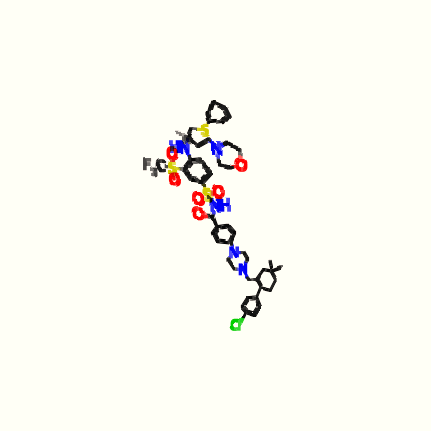 CC1(C)CCC(c2ccc(Cl)cc2)=C(CN2CCN(c3ccc(C(=O)NS(=O)(=O)c4ccc(N[C@](C)(CCN5CCOCC5)CSc5ccccc5)c(S(=O)(=O)C(F)(F)F)c4)cc3)CC2)C1